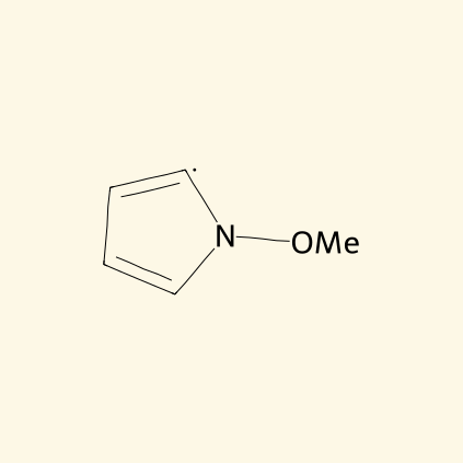 COn1[c]ccc1